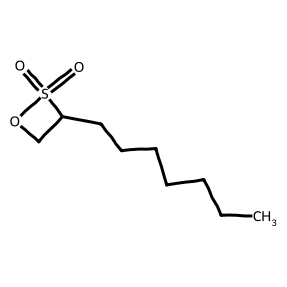 CCCCCCCC1COS1(=O)=O